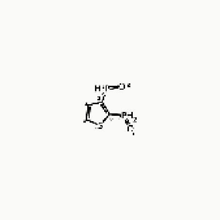 O=[PH2]c1ccsc1[PH2]=O